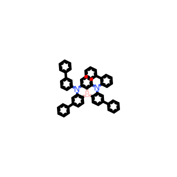 c1ccc(-c2cccc(N3c4cc(-c5ccccc5)ccc4B4c5ccc(-c6ccccc6)cc5N(c5ccccc5-c5ccccc5)c5cccc3c54)c2)cc1